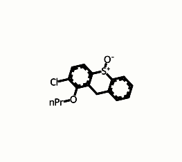 CCCOc1c(Cl)ccc2c1Cc1ccccc1[S+]2[O-]